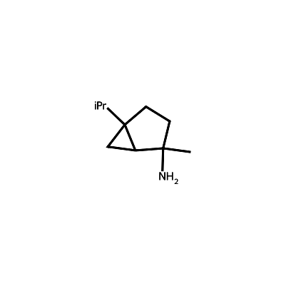 CC(C)C12CCC(C)(N)C1C2